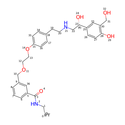 CC(C)CNC(=O)c1cccc(COCCOc2ccc(CCNC[C@H](O)c3ccc(O)c(CO)c3)cc2)c1